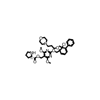 COc1nc(OCC2(OCCCN3CCOCC3)C=CC=C(c3ccccc3)C2(C)Cl)nc(OC)c1COC(=O)[C@@H]1CCCN1